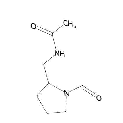 CC(=O)NCC1CCCN1C=O